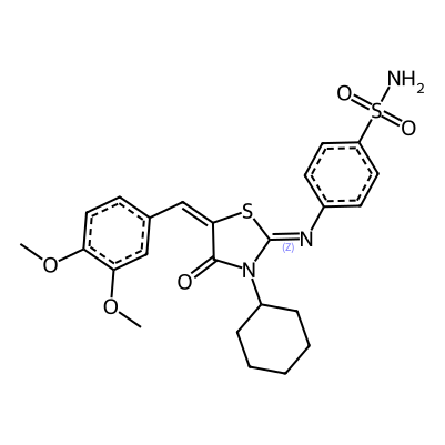 COc1ccc(C=C2S/C(=N\c3ccc(S(N)(=O)=O)cc3)N(C3CCCCC3)C2=O)cc1OC